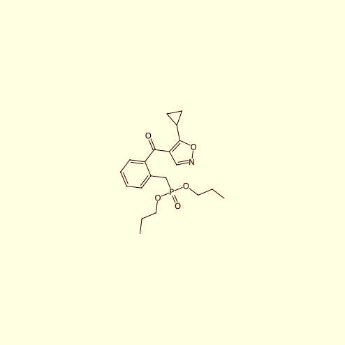 CCCOP(=O)(Cc1ccccc1C(=O)c1cnoc1C1CC1)OCCC